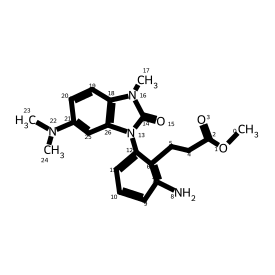 COC(=O)CCc1c(N)cccc1-n1c(=O)n(C)c2ccc(N(C)C)cc21